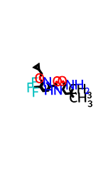 CC(C)CC(NC(=O)c1ccc(C(F)(F)F)c(OCC2CC2)n1)C(N)=O